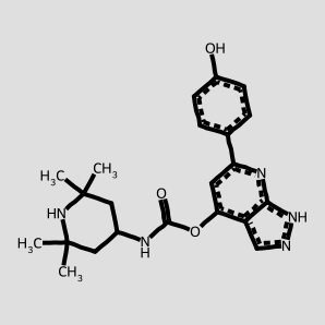 CC1(C)CC(NC(=O)Oc2cc(-c3ccc(O)cc3)nc3[nH]ncc23)CC(C)(C)N1